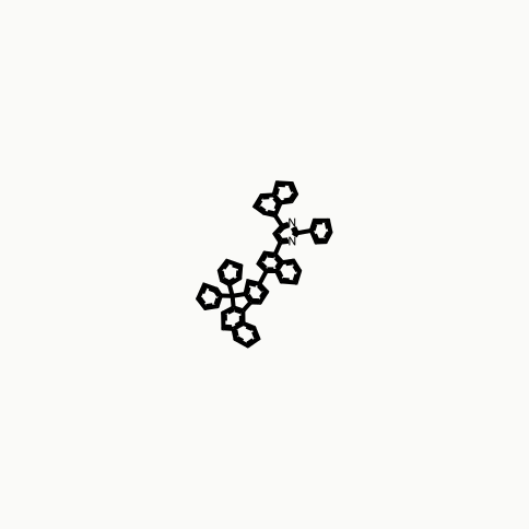 c1ccc(-c2nc(-c3cccc4ccccc34)cc(-c3ccc(-c4ccc5c(c4)C(c4ccccc4)(c4ccccc4)c4ccc6ccccc6c4-5)c4ccccc34)n2)cc1